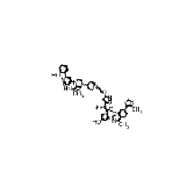 Cc1ncsc1-c1ccc([C@H](C)NC(=O)[C@@H]2C[C@@H](O)CN2C(=O)[C@@H](c2cc(OCCN3CCC(N4CCN5c6cc(-c7ccccc7O)nnc6N[C@H](C)[C@@H]5C4)CC3)no2)C(C)C)cc1